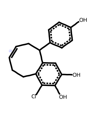 Oc1ccc(C2C/C=C\CCc3c2cc(O)c(O)c3Cl)cc1